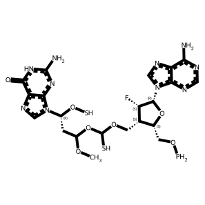 COC(C[C@@H](OS)n1cnc2c(=O)[nH]c(N)nc21)OC(S)OC[C@@H]1[C@H](F)[C@H](n2cnc3c(N)ncnc32)O[C@@H]1COP